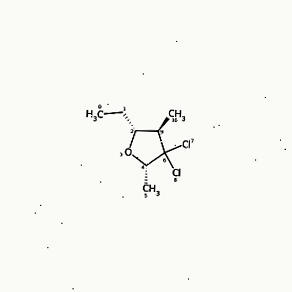 CC[C@H]1O[C@@H](C)C(Cl)(Cl)[C@@H]1C